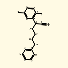 Cc1ccc(C)c(C(C#N)CCCCc2ccccc2)c1